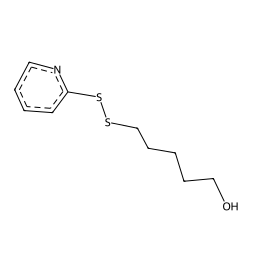 OCCCCCSSc1ccccn1